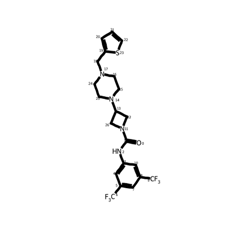 O=C(Nc1cc(C(F)(F)F)cc(C(F)(F)F)c1)N1CC(N2CCN(Cc3cccs3)CC2)C1